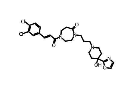 O=C(C=Cc1ccc(Cl)c(Cl)c1)N1CCC(=O)N(CCCN2CCC(O)(c3ncco3)CC2)CC1